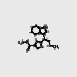 COC(=O)c1csc(/C(=C\SC)c2c[nH]c3ccccc23)n1